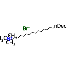 CCCCCCCCCCCCCCCCCCCCCCCCC[N+](C)(C)C.[Br-]